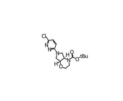 CC(C)(C)OC(=O)N1CCO[C@@H]2CN(c3ccc(Cl)nn3)C[C@H]21